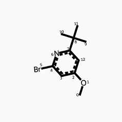 COc1cc(Br)nc(C(C)(C)C)c1